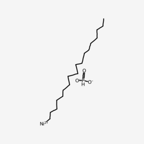 CCCCCCCCCCCCCCCCC[CH2][Ni+2].O=[PH]([O-])[O-]